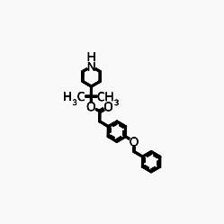 CC(C)(OC(=O)Cc1ccc(OCc2ccccc2)cc1)C1CCNCC1